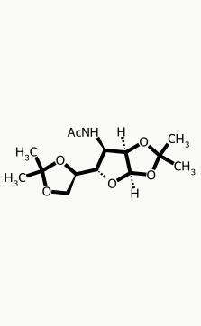 CC(=O)N[C@H]1[C@H]2OC(C)(C)O[C@H]2O[C@@H]1[C@H]1COC(C)(C)O1